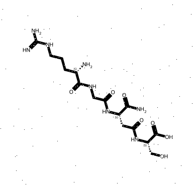 N=C(N)NCCC[C@H](N)C(=O)NCC(=O)N[C@@H](CC(=O)N[C@@H](CO)C(=O)O)C(N)=O